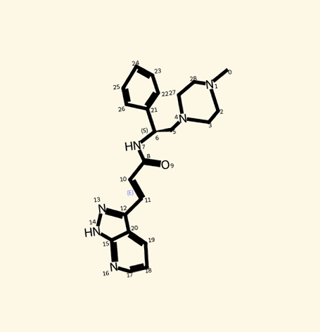 CN1CCN(C[C@@H](NC(=O)/C=C/c2n[nH]c3ncccc23)c2ccccc2)CC1